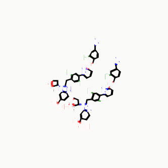 C[C@H]1OCC[C@H]1n1c(Cc2cc(F)c(-c3cccc(OCc4ccc(C#N)cc4F)n3)cc2F)nc2ccc(C(=O)O)cc21.C[C@H]1OCC[C@H]1n1c(Cc2cc(F)c(-c3cccc(OCc4ccc(C#N)cc4F)n3)cc2F)nc2ccc(C(=O)O)cc21